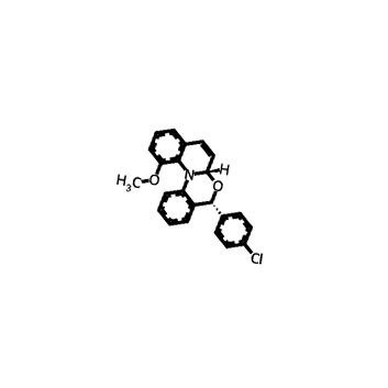 COc1cccc2c1N1c3ccccc3[C@@H](c3ccc(Cl)cc3)O[C@H]1C=C2